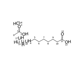 CC(=O)O.CCCCCCCC(=O)O.Cl.[LiH].[LiH].[LiH].[LiH]